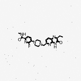 CCc1nc2ccc(CN3CCN(c4ccc(C(=O)NC)nc4F)CC3)nc2[nH]c1=O